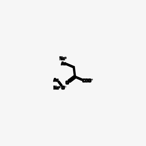 CC(=O)CC(=O)C(=O)[O-].CC(=O)[O-].[Na+].[Na+]